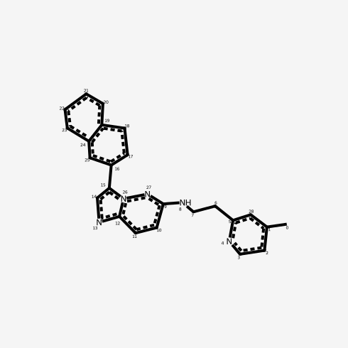 Cc1ccnc(CCNc2ccc3ncc(-c4ccc5ccccc5c4)n3n2)c1